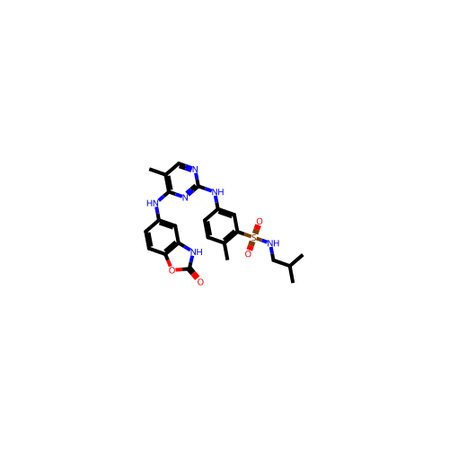 Cc1ccc(Nc2ncc(C)c(Nc3ccc4oc(=O)[nH]c4c3)n2)cc1S(=O)(=O)NCC(C)C